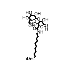 CCCCCCCCCCCCCCCCCCCCNC(=O)[C@H](O)[C@@H](O)[C@H](O[C@H]1OC(CO)[C@@H](O)C(O)C1O)[C@H](O)CO